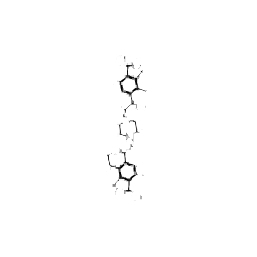 Cc1c([C@@H](O)CN2CCN(C[C@@H]3OCCc4c3ccc3c4COC3=O)CC2)ccc2c1COC2=O